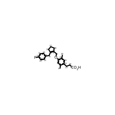 Cc1cc(OCC2=C(Cc3ccc(F)cc3)CCC2)c(C)cc1CCC(=O)O